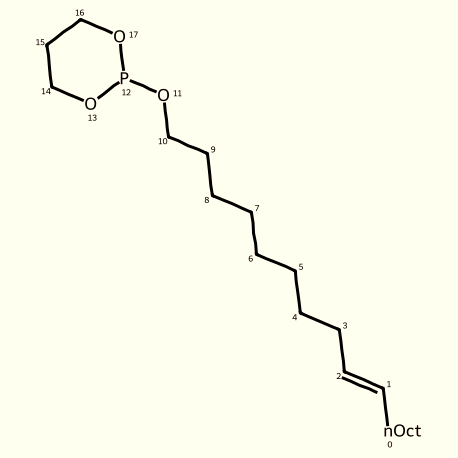 CCCCCCCCC=CCCCCCCCCOP1OCCCO1